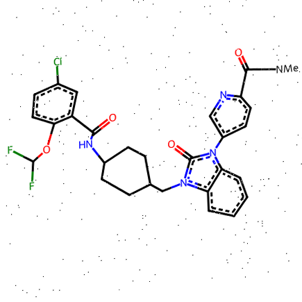 CNC(=O)c1ccc(-n2c(=O)n(CC3CCC(NC(=O)c4cc(Cl)ccc4OC(F)F)CC3)c3ccccc32)cn1